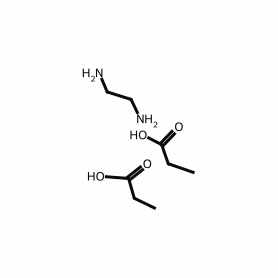 CCC(=O)O.CCC(=O)O.NCCN